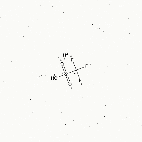 O=S(=O)(O)C(F)(F)F.[Hf]